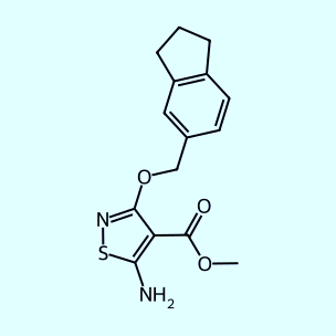 COC(=O)c1c(OCc2ccc3c(c2)CCC3)nsc1N